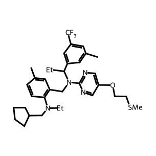 CCC(c1cc(C)cc(C(F)(F)F)c1)N(Cc1cc(C)ccc1N(CC)CC1CCCC1)c1ncc(OCCSC)cn1